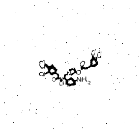 CN(C(=O)Cc1ccc(Cl)c(Cl)c1)C(CN1CCC(OC(=O)Cc2ccc(Cl)c(Cl)c2)C1)c1cccc(N)c1